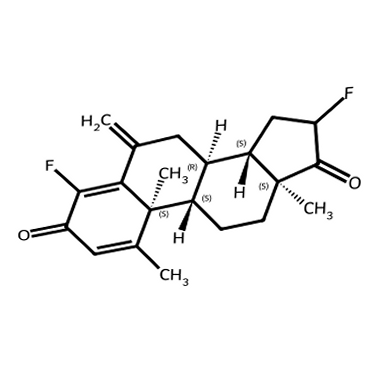 C=C1C[C@@H]2[C@H](CC[C@]3(C)C(=O)C(F)C[C@@H]23)[C@@]2(C)C(C)=CC(=O)C(F)=C12